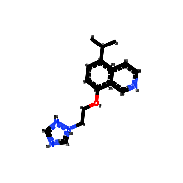 CC(C)c1ccc(OCCn2cncn2)c2cnccc12